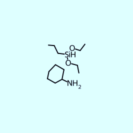 CCC[SiH](OCC)OCC.NC1CCCCC1